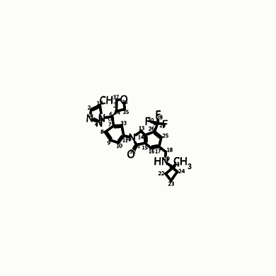 Cc1cnnn1[C@H](c1cccc(N2Cc3c(cc(CNC4(C)CCC4)cc3C(F)(F)F)C2=O)c1)C1COC1